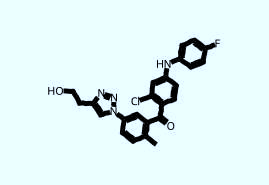 Cc1ccc(-n2cc(CCO)nn2)cc1C(=O)c1ccc(Nc2ccc(F)cc2)cc1Cl